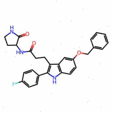 O=C(CCc1c(-c2ccc(F)cc2)[nH]c2ccc(OCc3ccccc3)cc12)NC1CCNC1=O